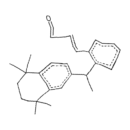 CC(c1ccc2c(c1)C(C)(C)CCC2(C)C)c1ccccc1/C=C/C=O